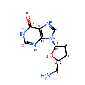 NC[C@@H]1CC[C@H](n2cnc3c(=O)[nH]cnc32)O1